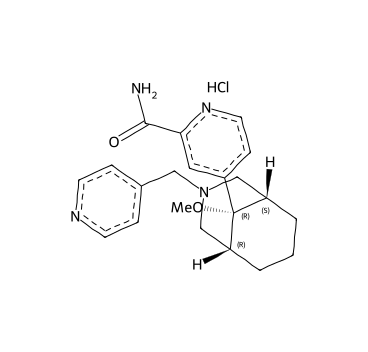 CO[C@@]1(c2ccnc(C(N)=O)c2)[C@@H]2CCC[C@H]1CN(Cc1ccncc1)C2.Cl